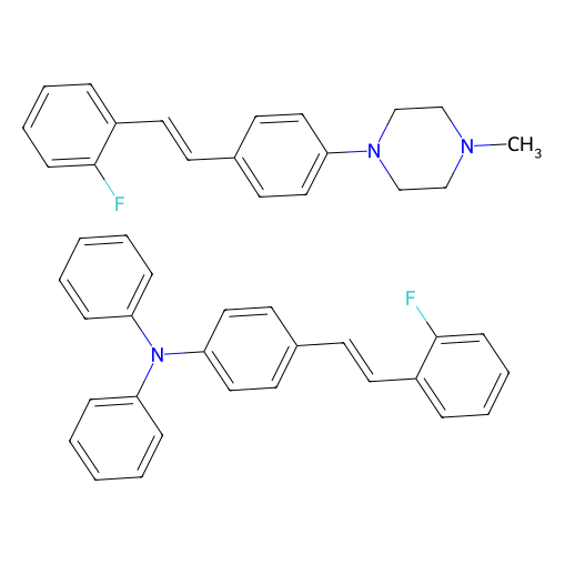 CN1CCN(c2ccc(/C=C/c3ccccc3F)cc2)CC1.Fc1ccccc1/C=C/c1ccc(N(c2ccccc2)c2ccccc2)cc1